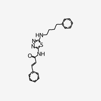 O=C(C=Cc1ccccc1)Nc1nnc(NCCCCc2ccccc2)s1